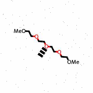 C=C.C=C.C=C.COCCOCCOCCOCCOC